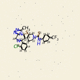 Cc1nnc2n1-c1sc3c(c1C(c1ccccc1Cl)=NC2)CCN(C(=S)Nc1ccc(C(F)(F)F)cc1)C3